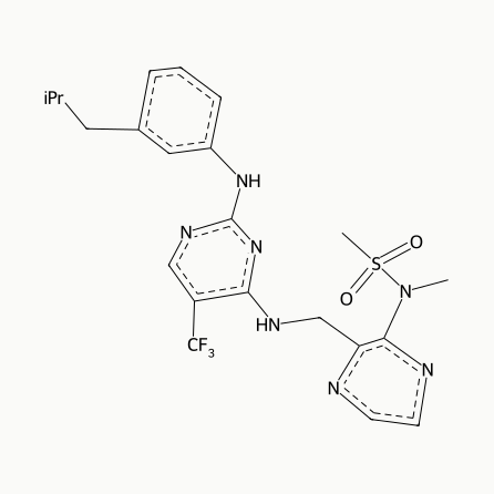 CC(C)Cc1cccc(Nc2ncc(C(F)(F)F)c(NCc3nccnc3N(C)S(C)(=O)=O)n2)c1